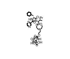 CC(C)[C@H](C)[C@@H](NC(=O)[C@@H](Cc1ccccc1)NC(=O)c1cnccn1)B1OCCN(CCOC(=O)NC(P(=O)(O)O)P(=O)(O)O)CCO1